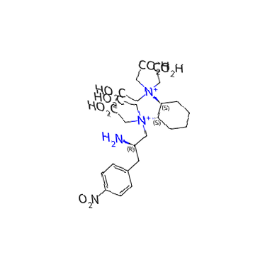 N[C@H](Cc1ccc([N+](=O)[O-])cc1)C[N+](CC(=O)O)(CC(=O)O)[C@H]1CCCC[C@@H]1[N+](CC(=O)O)(CC(=O)O)CC(=O)O